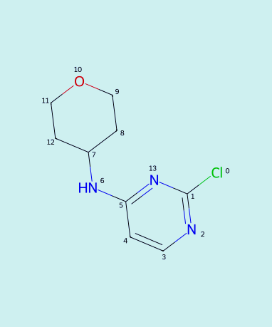 Clc1nccc(NC2CCOCC2)n1